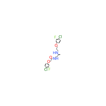 C=C(CCNC(=O)COc1ccc(Cl)c(F)c1)NCCCOc1ccc(Cl)c(F)c1